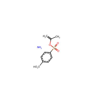 C=C(C)OS(=O)(=O)c1ccc(S(=O)(=O)O)cc1.N